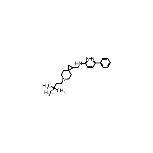 CC(C)(C)CCN1CCC2(CC1)CC2CNc1ccc(-c2ccccc2)nn1